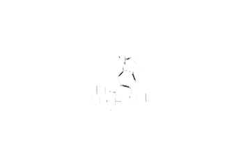 CCC(C(=O)O)c1cc2ncsc2cc1O